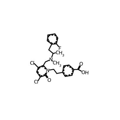 CC(Cc1ccccc1F)N(C)Cc1c(Cl)cc(Cl)c(=O)n1CCc1ccc(C(=O)O)cc1